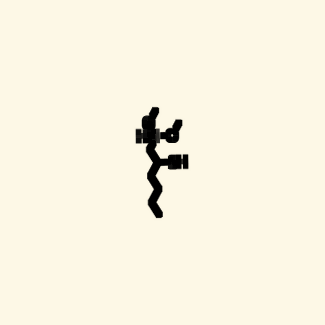 CCCCC(S)C[SiH](OC)OC